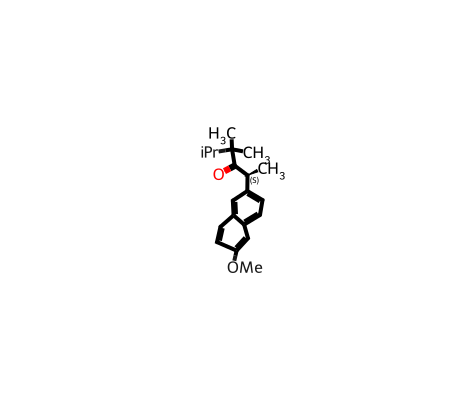 COc1ccc2cc([C@H](C)C(=O)C(C)(C)C(C)C)ccc2c1